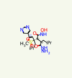 CC(C)C[C@@H](C(=O)NN)[C@@H](C(=O)NO)C(/C=C/c1cncnc1)(CC(C)C)S(C)(=O)=O